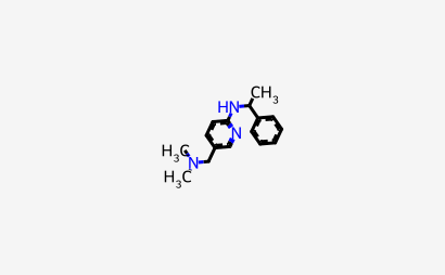 CC(Nc1ccc(CN(C)C)cn1)c1ccccc1